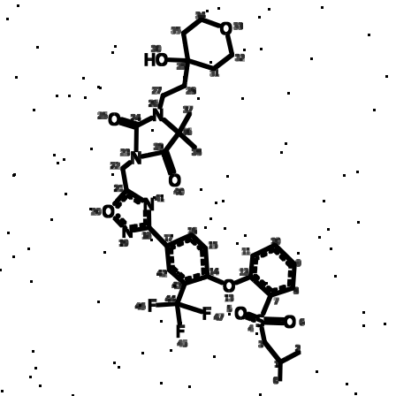 CC(C)CS(=O)(=O)c1ccccc1Oc1ccc(-c2noc(CN3C(=O)N(CCC4(O)CCOCC4)C(C)(C)C3=O)n2)cc1C(F)(F)F